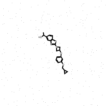 CC(O)c1ccc2sc(N3CC(Oc4cccc(OCC5CC5)c4)C3)nc2c1